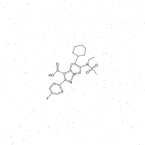 CCN(c1cn2nc(-c3ccc(F)cc3)c(C(=O)O)c2cc1C1CCCCC1)S(C)(=O)=O